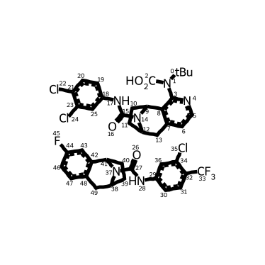 CC(C)(C)N(C(=O)O)c1nccc2c1C1CCC(C2)N1C(=O)Nc1ccc(Cl)c(Cl)c1.O=C(Nc1ccc(C(F)(F)F)c(Cl)c1)N1C2CCC1c1cc(F)ccc1C2